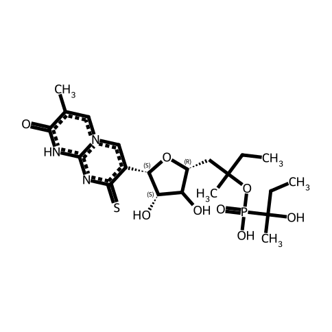 CCC(C)(C[C@H]1O[C@@H](c2cn3cc(C)c(=O)[nH]c3nc2=S)[C@@H](O)C1O)OP(=O)(O)C(C)(O)CC